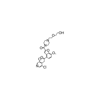 COc1ccc(C(=O)Cc2c(Cl)cncc2Cl)c2cc(C(=O)N3CCN(CCOCCO)CC3)oc12